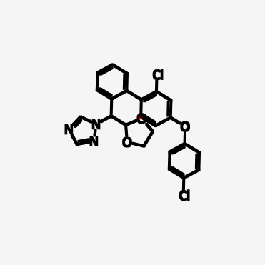 Clc1ccc(Oc2ccc(-c3ccccc3C(C3OCCO3)n3cncn3)c(Cl)c2)cc1